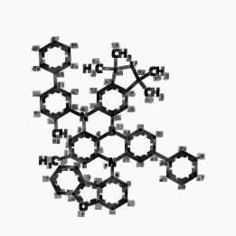 Cc1cc2c3c(c1)N(c1cccc4oc5ccccc5c14)c1cc(-c4ccccc4)ccc1B3c1cc3c(cc1N2c1cc(-c2ccccc2)ccc1C)C(C)(C)CC3(C)C